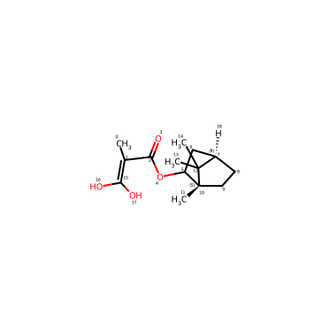 CC(C(=O)OC1C[C@H]2CC[C@@]1(C)C2(C)C)=C(O)O